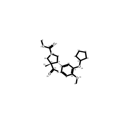 COC(=O)N1C[C@H](c2ccc(OC)c(OC3CCCC3)c2)[C@](C)(C(C)=O)C1